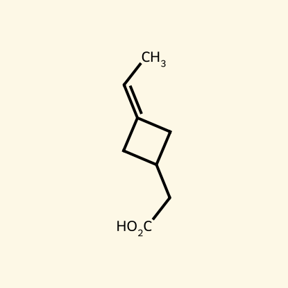 CC=C1CC(CC(=O)O)C1